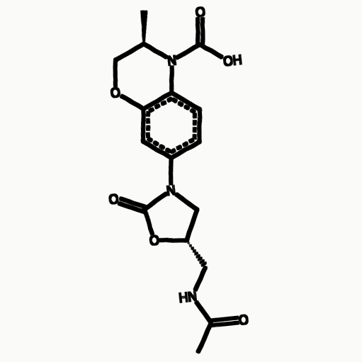 CC(=O)NC[C@H]1CN(c2ccc3c(c2)OC[C@@H](C)N3C(=O)O)C(=O)O1